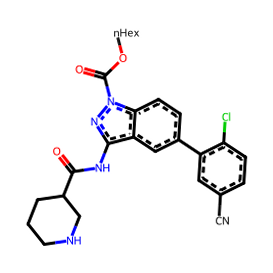 CCCCCCOC(=O)n1nc(NC(=O)C2CCCNC2)c2cc(-c3cc(C#N)ccc3Cl)ccc21